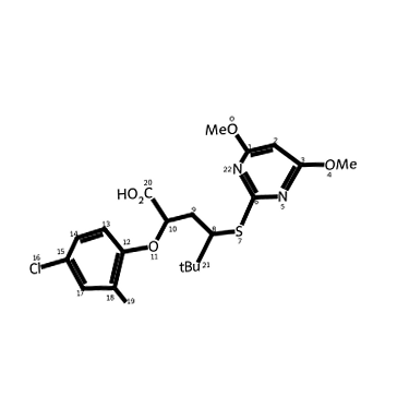 COc1cc(OC)nc(SC(CC(Oc2ccc(Cl)cc2C)C(=O)O)C(C)(C)C)n1